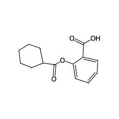 O=C(O)c1ccccc1OC(=O)C1CCCCC1